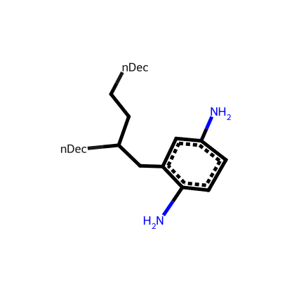 CCCCCCCCCCCCC(CCCCCCCCCC)Cc1cc(N)ccc1N